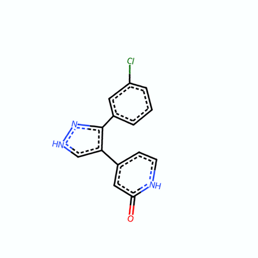 O=c1cc(-c2c[nH]nc2-c2cccc(Cl)c2)cc[nH]1